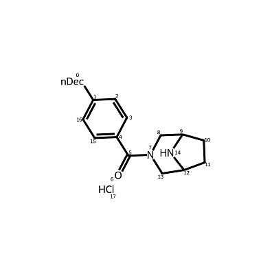 CCCCCCCCCCc1ccc(C(=O)N2CC3CCC(C2)N3)cc1.Cl